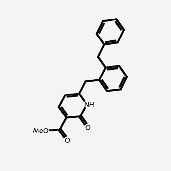 COC(=O)c1ccc(Cc2ccccc2Cc2ccccc2)[nH]c1=O